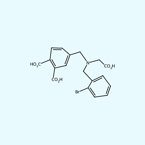 O=C(O)CN(Cc1ccc(C(=O)O)c(C(=O)O)c1)Cc1ccccc1Br